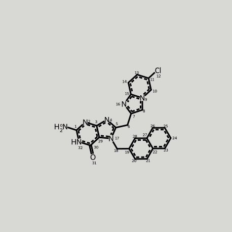 Nc1nc2nc(Cc3cn4cc(Cl)ccc4n3)n(Cc3ccc4ccccc4c3)c2c(=O)[nH]1